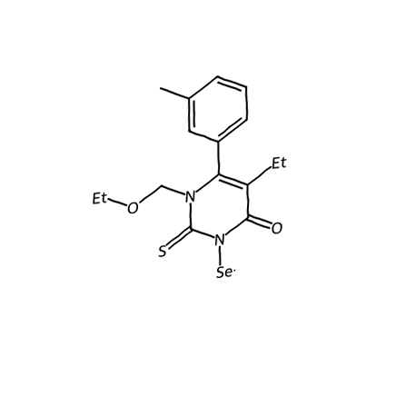 CCOCn1c(-c2cccc(C)c2)c(CC)c(=O)n([Se])c1=S